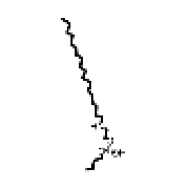 CCCCCCCCCCCCCCCCCCNCCOP(O)OCCCC